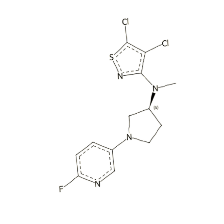 CN(c1nsc(Cl)c1Cl)[C@H]1CCN(c2ccc(F)nc2)C1